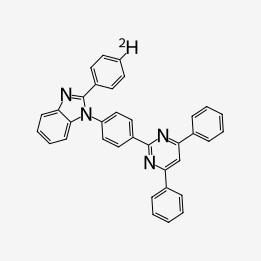 [2H]c1ccc(-c2nc3ccccc3n2-c2ccc(-c3nc(-c4ccccc4)cc(-c4ccccc4)n3)cc2)cc1